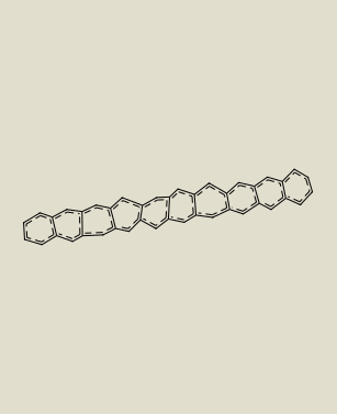 c1ccc2cc3cc4cc5cc6cc7cc8cc9cc%10ccccc%10cc9cc8cc7cc6cc5cc4cc3cc2c1